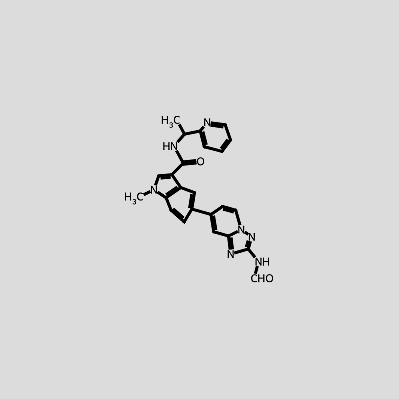 CC(NC(=O)c1cn(C)c2ccc(-c3ccn4nc(NC=O)nc4c3)cc12)c1ccccn1